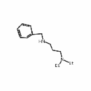 CCN(CC)CCCNCc1ccccc1